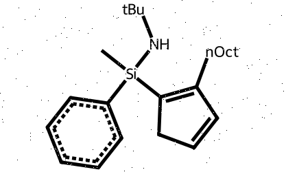 CCCCCCCCC1=C([Si](C)(NC(C)(C)C)c2ccccc2)CC=C1